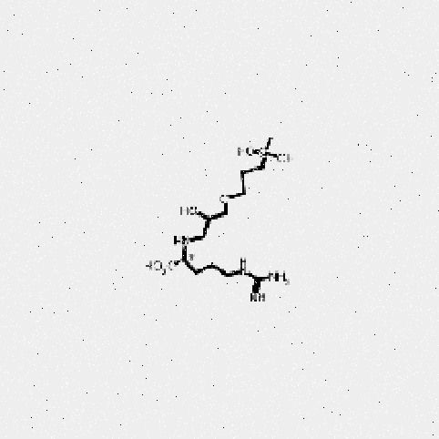 C[Si](O)(O)CCCOCC(O)CN[C@@H](CCCNC(=N)N)C(=O)O